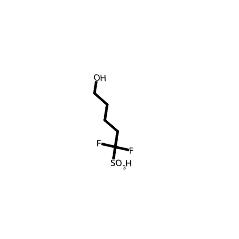 O=S(=O)(O)C(F)(F)CCCCO